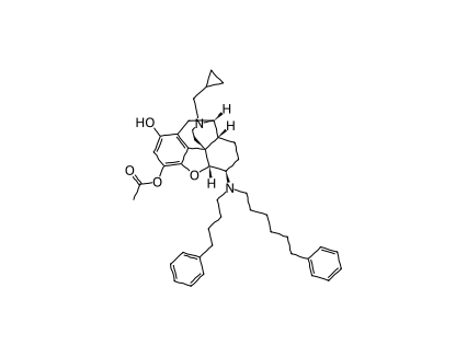 CC(=O)Oc1cc(O)c2c3c1O[C@H]1[C@H](N(CCCCCCc4ccccc4)CCCCc4ccccc4)CC[C@H]4[C@@H](C2)N(CC2CC2)CC[C@@]341